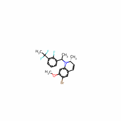 COc1cc2c(cc1Br)C=C[C@@H](C)N2C(C)c1cccc(C(C)(F)F)c1F